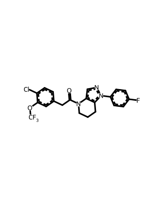 O=C(Cc1ccc(Cl)c(OC(F)(F)F)c1)N1CCCc2c1cnn2-c1ccc(F)cc1